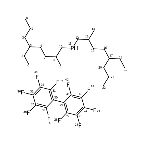 CCCC(CC)CCC(C)CPCC(C)CCC(CC)CCC.Fc1c(F)c(F)c(-c2c(F)c(F)c(F)c(F)c2F)c(F)c1F